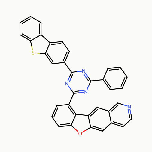 c1ccc(-c2nc(-c3ccc4c(c3)sc3ccccc34)nc(-c3cccc4oc5cc6ccncc6cc5c34)n2)cc1